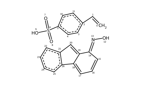 C=Cc1ccc(S(=O)(=O)O)cc1.ON=C1C=CC=C2C1=Cc1ccccc12